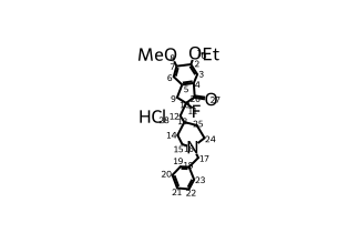 CCOc1cc2c(cc1OC)CC(F)(CC1CCN(Cc3ccccc3)CC1)C2=O.Cl